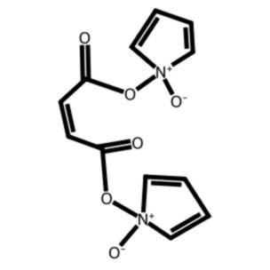 O=C(/C=C\C(=O)O[N+]1([O-])C=CC=C1)O[N+]1([O-])C=CC=C1